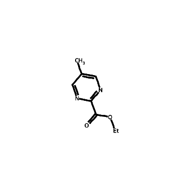 CCOC(=O)c1ncc(C)cn1